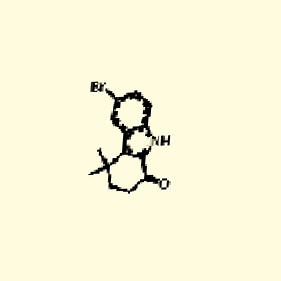 CC1(C)CCC(=O)c2[nH]c3ccc(Br)cc3c21